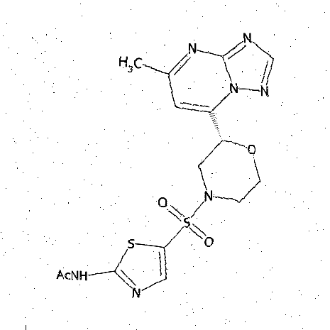 CC(=O)Nc1ncc(S(=O)(=O)N2CCO[C@@H](c3cc(C)nc4ncnn34)C2)s1